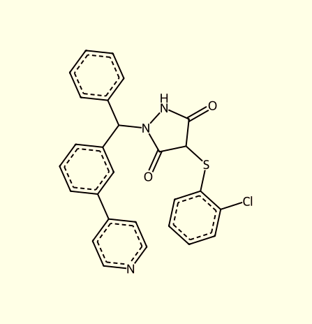 O=C1NN(C(c2ccccc2)c2cccc(-c3ccncc3)c2)C(=O)C1Sc1ccccc1Cl